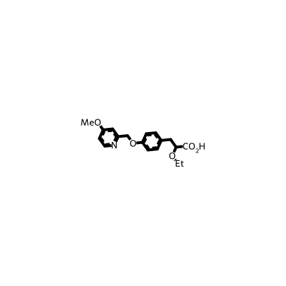 CCOC(Cc1ccc(OCc2cc(OC)ccn2)cc1)C(=O)O